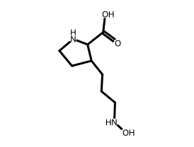 O=C(O)C1NCCC1CCCNO